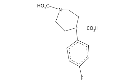 O=C(O)N1CCC(C(=O)O)(c2ccc(F)cc2)CC1